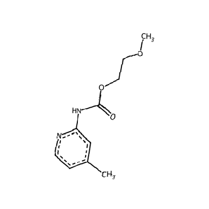 COCCOC(=O)Nc1cc(C)ccn1